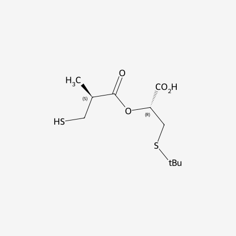 C[C@H](CS)C(=O)O[C@@H](CSC(C)(C)C)C(=O)O